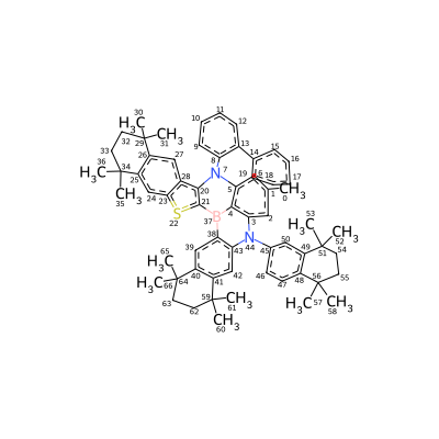 Cc1cc2c3c(c1)N(c1ccccc1-c1ccccc1)c1c(sc4cc5c(cc14)C(C)(C)CCC5(C)C)B3c1cc3c(cc1N2c1ccc2c(c1)C(C)(C)CCC2(C)C)C(C)(C)CCC3(C)C